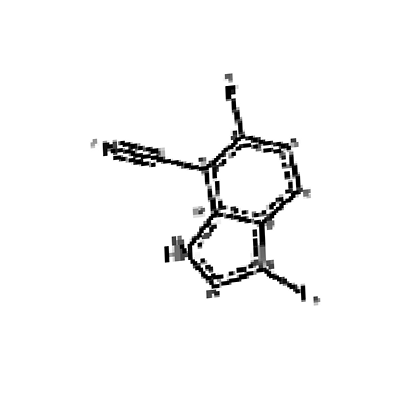 N#Cc1c(F)ccc2c(I)c[nH]c12